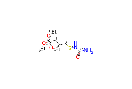 CCO[Si](CCCSNC(N)=O)(OCC)OCC